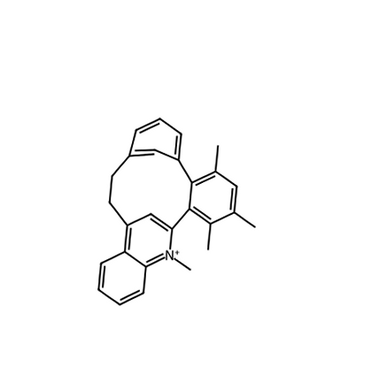 Cc1cc(C)c2c(c1C)-c1cc(c3ccccc3[n+]1C)CCc1cccc-2c1